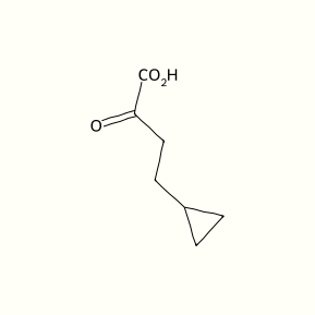 O=C(O)C(=O)CCC1CC1